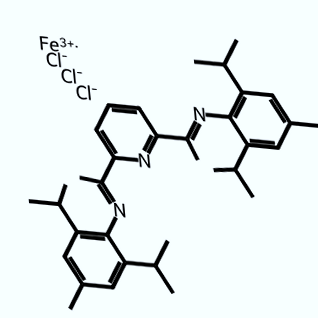 CC(=Nc1c(C(C)C)cc(C)cc1C(C)C)c1cccc(C(C)=Nc2c(C(C)C)cc(C)cc2C(C)C)n1.[Cl-].[Cl-].[Cl-].[Fe+3]